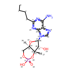 CCCCc1nc(N)c2ncn([C@@H]3O[C@@H]4COP(=O)(O)O[C@H]4[C@H]3O)c2n1